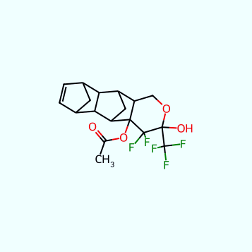 CC(=O)OC12C(COC(O)(C(F)(F)F)C1(F)F)C1CC2C2C3C=CC(C3)C12